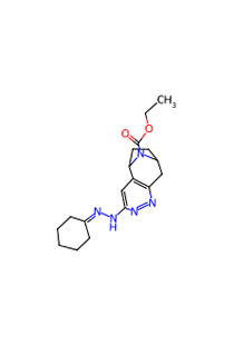 CCOC(=O)N1C2CCC1c1cc(NN=C3CCCCC3)nnc1C2